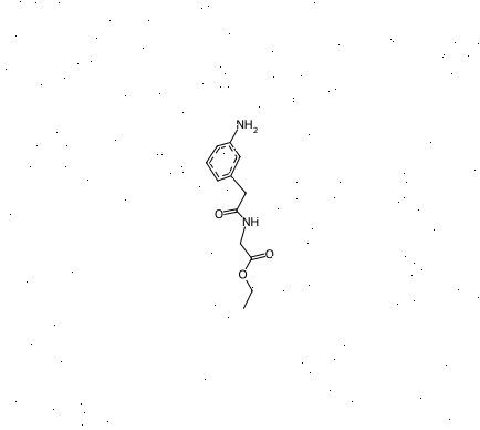 CCOC(=O)CNC(=O)Cc1cccc(N)c1